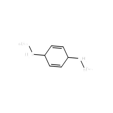 CCCCCCCCCC[SiH2]C1C=CC([SiH2]CCCCCCCCCC)C=C1